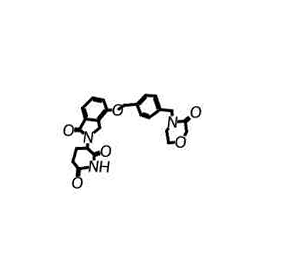 O=C1CCC(N2Cc3c(OCc4ccc(CN5CCOCC5=O)cc4)cccc3C2=O)C(=O)N1